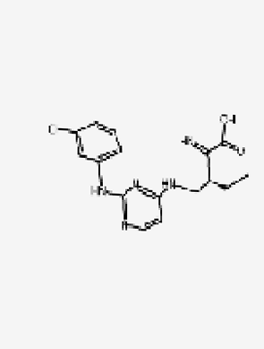 CC[C@@H](CNc1ccnc(Nc2cccc(Cl)c2)n1)C(=N)C(=O)O